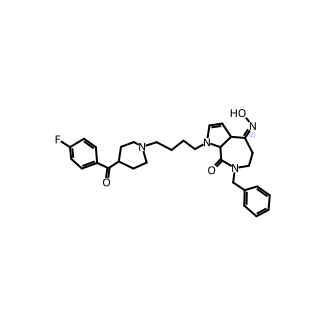 O=C(c1ccc(F)cc1)C1CCN(CCCCN2C=CC3/C(=N\O)CCN(Cc4ccccc4)C(=O)C32)CC1